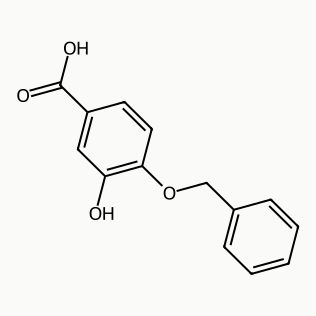 O=C(O)c1ccc(OCc2ccccc2)c(O)c1